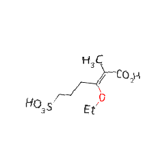 CCO/C(CCCS(=O)(=O)O)=C(/C)C(=O)O